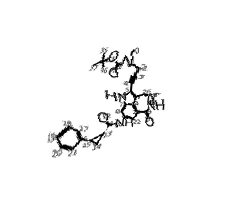 CN(CC#Cc1[nH]c2cc(NC(=O)[C@@H]3C[C@H]3c3ccccc3)cc3c2c1C=NNC3=O)C(=O)OC(C)(C)C